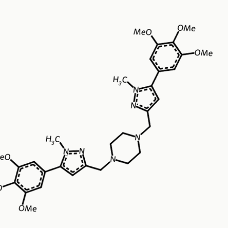 COc1cc(-c2cc(CN3CCN(Cc4cc(-c5cc(OC)c(OC)c(OC)c5)n(C)n4)CC3)nn2C)cc(OC)c1OC